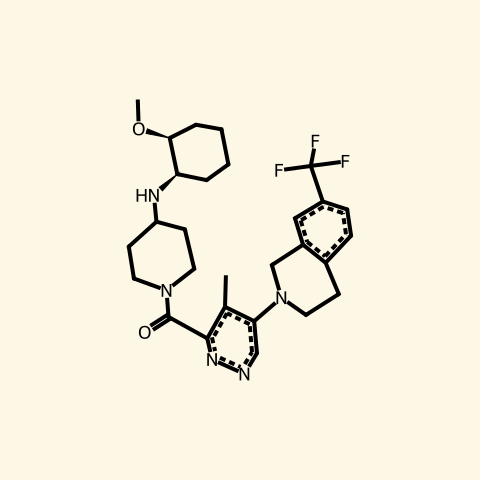 CO[C@H]1CCCC[C@H]1NC1CCN(C(=O)c2nncc(N3CCc4ccc(C(F)(F)F)cc4C3)c2C)CC1